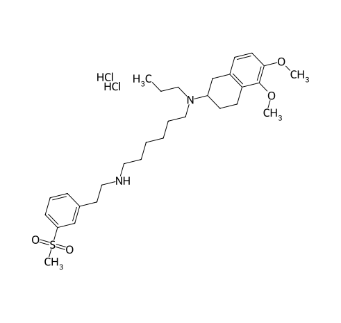 CCCN(CCCCCCNCCc1cccc(S(C)(=O)=O)c1)C1CCc2c(ccc(OC)c2OC)C1.Cl.Cl